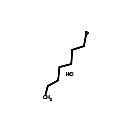 Cl.[B]CCCCCCC